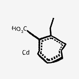 Cc1ccccc1C(=O)O.[Cd]